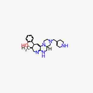 C=C1CN=C2NC[C@H]3CN(CC4=CCNCC4)CCN3C2=CC1c1ccccc1O